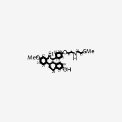 CCN(Cc1ccc(OCCNCCSC)cc1)c1cc(OC)ccc1C1CCc2cc(O)ccc2C1